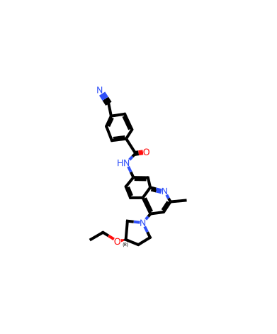 CCO[C@@H]1CCN(c2cc(C)nc3cc(NC(=O)c4ccc(C#N)cc4)ccc23)C1